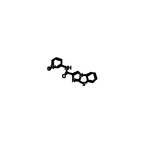 O=C(Nc1ccc[n+]([O-])c1)c1cn2c(n1)sc1ccccc12